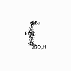 CCc1cc(CCCO[Si](C)(C)C(C)(C)C)ccc1-c1ccc(CCc2cccc(C=C(C)C(=O)O)c2)cc1F